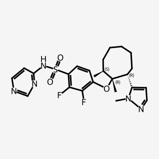 C[C@H]1CCCCC[C@H](c2ccnn2C)[C@]1(C)Oc1ccc(S(=O)(=O)Nc2ccncn2)c(F)c1F